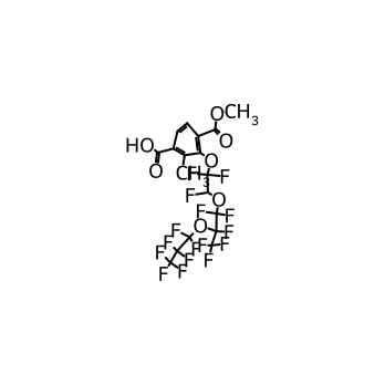 COC(=O)c1ccc(C(=O)O)c(C)c1OC(F)(F)C(F)OC(F)(F)C(F)(OC(F)(F)C(F)(F)C(F)(F)F)C(F)(F)F